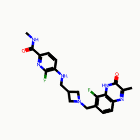 CNC(=O)c1ccc(NCC2CN(Cc3ccc4nc(C)c(=O)[nH]c4c3F)C2)c(F)n1